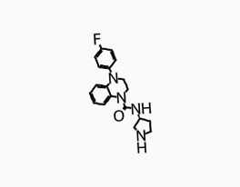 O=C(N[C@H]1CCNC1)N1CCN(c2ccc(F)cc2)c2ccccc21